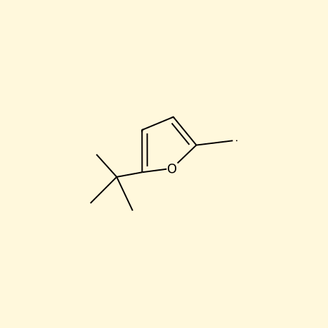 [CH2]c1ccc(C(C)(C)C)o1